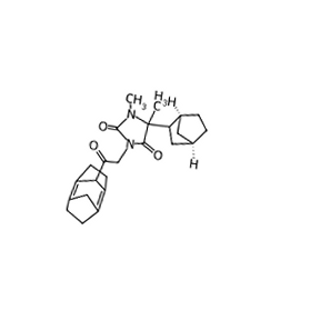 CN1C(=O)N(CC(=O)C2C3=C4CCC(=C2CC3)C4)C(=O)C1(C)C1C[C@@H]2CC[C@H]1C2